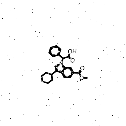 COC(=O)c1ccc2c(C3CCCCC3)cn(C(C(=O)O)c3ccccc3)c2c1